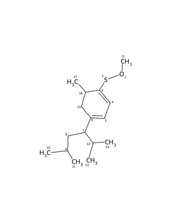 COSC1=CC=C(C(CC(C)C)C(C)C)CC1C